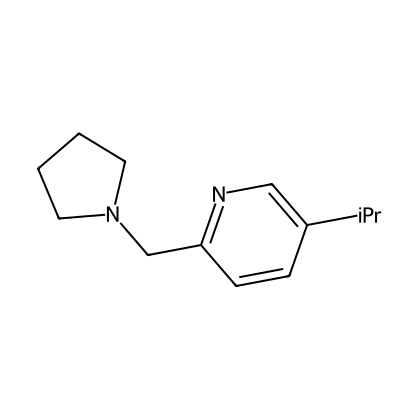 CC(C)c1ccc(CN2CCCC2)nc1